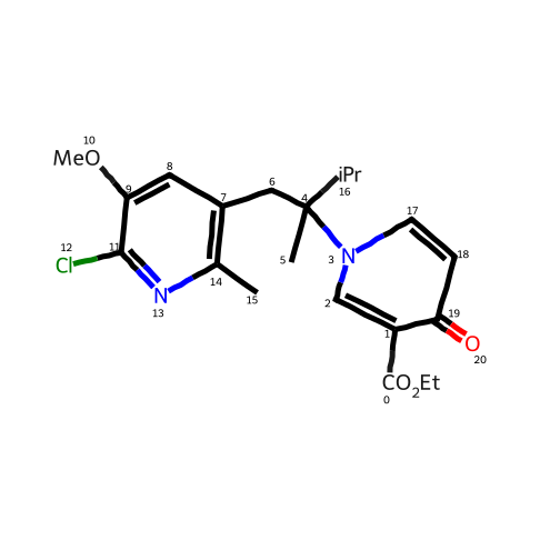 CCOC(=O)c1cn(C(C)(Cc2cc(OC)c(Cl)nc2C)C(C)C)ccc1=O